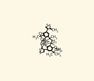 C=C1SSC=C1c1cc(C(C)(C)C)c(OC)c(C(C)(C)CC(C)(C)c2cc(C3=CSSC3=C)cc(C(C)(C)C)c2OCC)c1